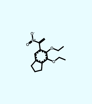 C=C(c1cc2c(c(OCC)c1OCC)CCC2)[N+](=O)[O-]